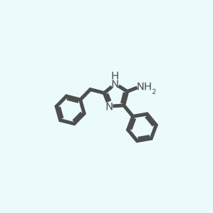 Nc1[nH]c(Cc2ccccc2)nc1-c1ccccc1